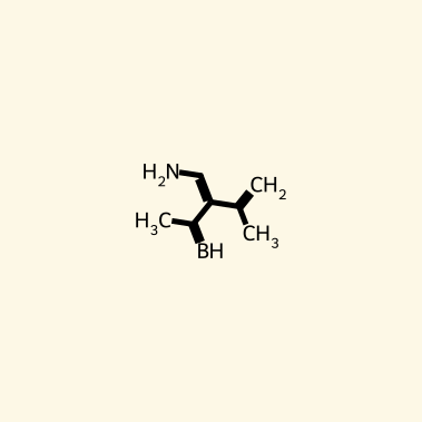 B=C(C)/C(=C\N)C(=C)C